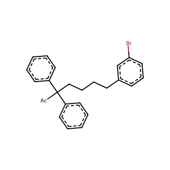 CC(=O)C(CCCCc1cccc(Br)c1)(c1ccccc1)c1ccccc1